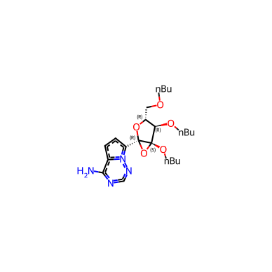 CCCCOC[C@H]1O[C@]2(c3ccc4c(N)ncnn34)O[C@@]2(OCCCC)[C@@H]1OCCCC